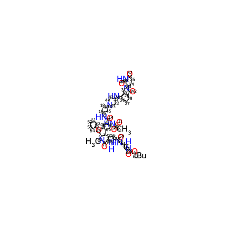 Cn1cc(-c2cc(NS(C)(=O)=O)c(C(=O)N[C@H]3CCC(N4CCC(Nc5cccc6c5CN(C5CCC(=O)NC5=O)C6=O)CC4)C3)cc2Oc2ccccc2)c2cc(C(=O)NCCNC(=O)OC(C)(C)C)[nH]c2c1=O